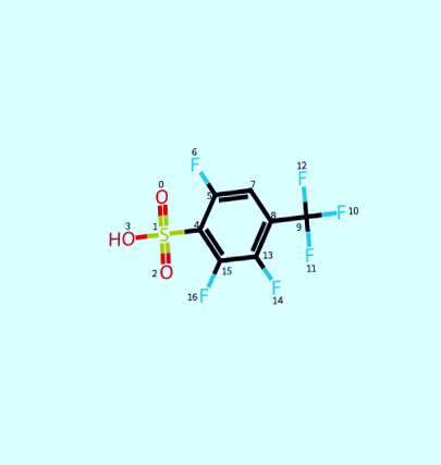 O=S(=O)(O)c1c(F)cc(C(F)(F)F)c(F)c1F